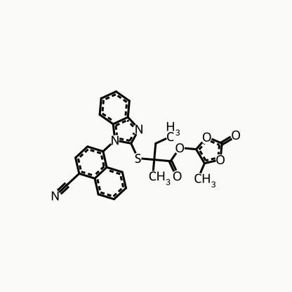 CCC(C)(Sc1nc2ccccc2n1-c1ccc(C#N)c2ccccc12)C(=O)Oc1oc(=O)oc1C